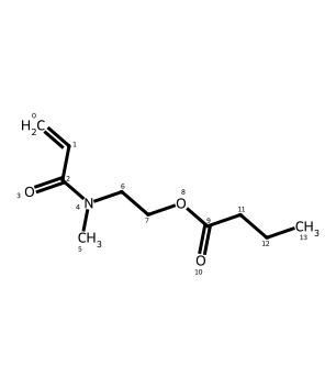 C=CC(=O)N(C)CCOC(=O)CCC